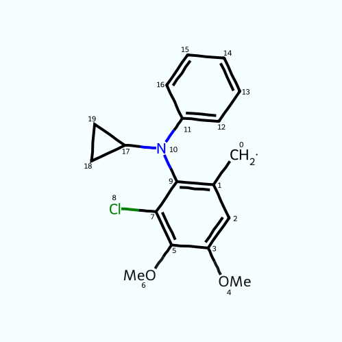 [CH2]c1cc(OC)c(OC)c(Cl)c1N(c1ccccc1)C1CC1